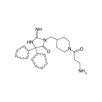 N=C1NC(c2ccccc2)(c2ccccc2)C(=O)N1CC1CCN(C(=O)CCN)CC1